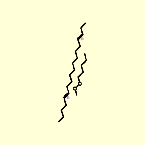 CC/C=C/CCCCCCCC/C=C/CCCC.CCCCCOOC